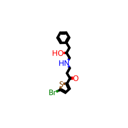 O=C(CCNCC(O)Cc1ccccc1)c1ccc(Br)s1